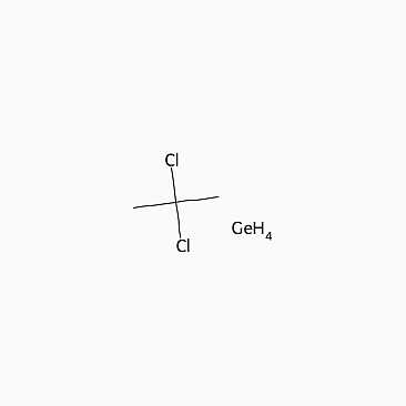 CC(C)(Cl)Cl.[GeH4]